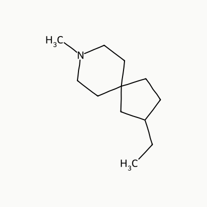 CCC1CCC2(CCN(C)CC2)C1